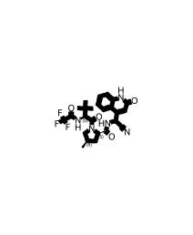 C[C@@H]1C[C@@H](C(=O)NC(C#N)c2cc(=O)[nH]c3ccccc23)N(C(=O)[C@@H](NC(=O)C(F)(F)F)C(C)(C)C)C1